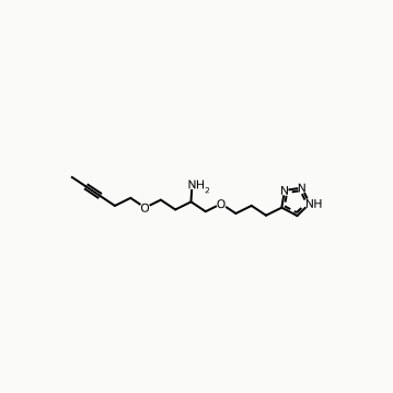 CC#CCCOCCC(N)COCCCc1c[nH]nn1